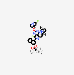 CC(C)(C)C(=O)Oc1cc(-c2nc3c4c(nc(OC[C@@]56CCCN5C[C@H](F)C6)nc4c2F)N2C[C@H]4CC[C@H](N4)[C@H]2CC3)c2ccccc2c1